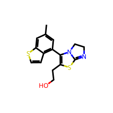 Cc1cc(C2=C(CCO)SC3=NCCN32)c2ccsc2c1